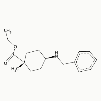 CCOC(=O)[C@]1(C)CC[C@@H](NCc2ccccc2)CC1